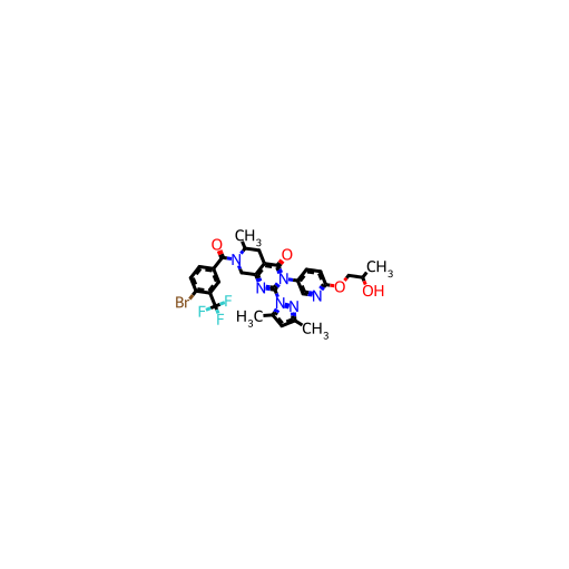 Cc1cc(C)n(-c2nc3c(c(=O)n2-c2ccc(OCC(C)O)nc2)CC(C)N(C(=O)c2ccc(Br)c(C(F)(F)F)c2)C3)n1